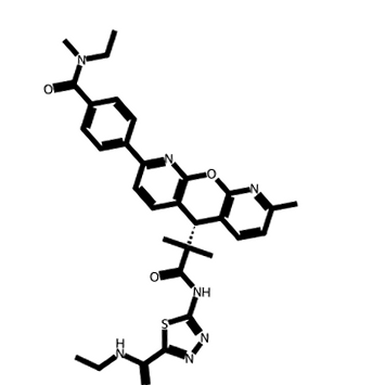 CCNC(=O)c1nnc(NC(=O)C(C)(C)[C@H]2c3ccc(C)nc3Oc3nc(-c4ccc(C(=O)N(C)CC)cc4)ccc32)s1